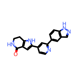 O=C1NCCc2[nH]c(-c3ccnc(-c4ccc5[nH]ncc5c4)c3)cc21